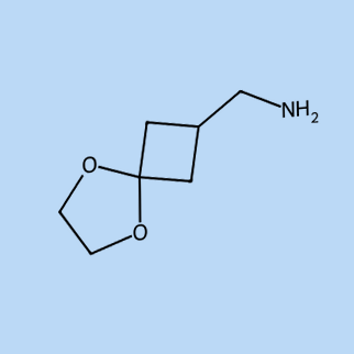 NCC1CC2(C1)OCCO2